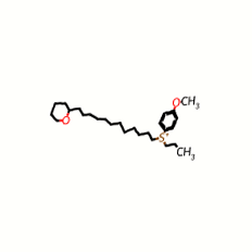 CCC[S+](CCCCCCCCCCCCC1CCCCO1)c1ccc(OC)cc1